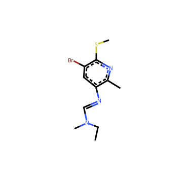 CCN(C)/C=N/c1cc(Br)c(SC)nc1C